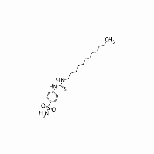 CCCCCCCCCCCCNC(=S)Nc1ccc(S(N)(=O)=O)cc1